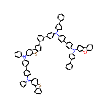 c1ccc(-c2ccc(N(c3ccc(-c4ccc(N(c5ccc(-c6ccccc6)cc5)c5ccc6c(c5)oc5ccccc56)cc4)cc3)c3ccc(-c4cccc(-c5ccc6sc7cc(N(c8ccccc8)c8ccc(-c9ccc(N(c%10ccccc%10)c%10ccc%11sc%12ccccc%12c%11c%10)cc9)cc8)ccc7c6c5)c4)cc3)cc2)cc1